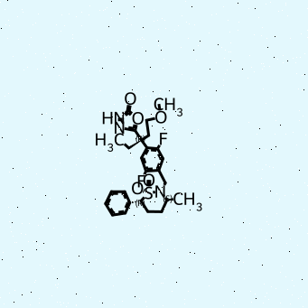 CC[C@](CCOC)(c1n[nH]c(=O)o1)c1cc(F)c(CN2[C@@H](C)CC[C@H](c3ccccc3)S2(=O)=O)cc1F